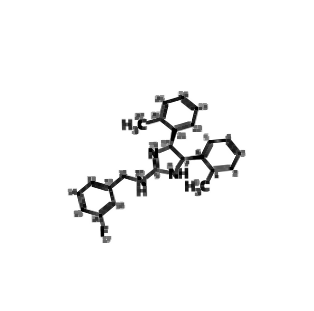 Cc1ccccc1[C@H]1NC(NCc2cccc(F)c2)=N[C@H]1c1ccccc1C